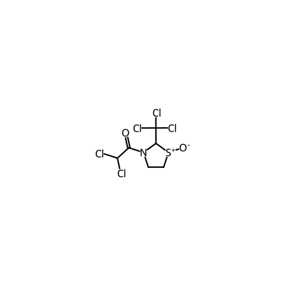 O=C(C(Cl)Cl)N1CC[S+]([O-])C1C(Cl)(Cl)Cl